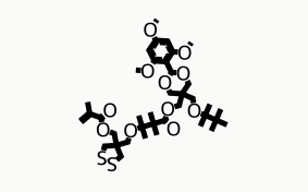 C=C(C)C(=O)OCC1(COC(C)(C)C(C)(C)C(=O)OCC2(COC(C)(C)C(C)(C)C)COC(c3c(OC)cc(OC)cc3OC)OC2)CSSC1